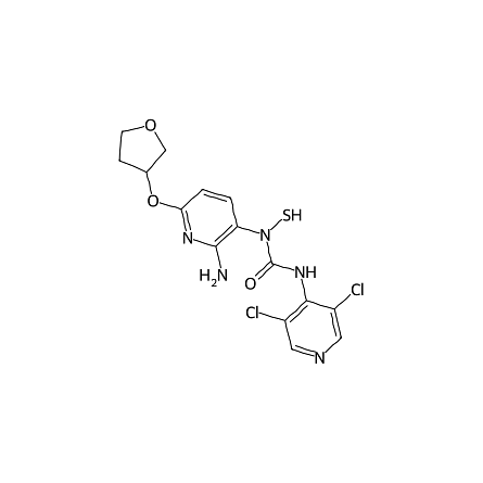 Nc1nc(OC2CCOC2)ccc1N(S)C(=O)Nc1c(Cl)cncc1Cl